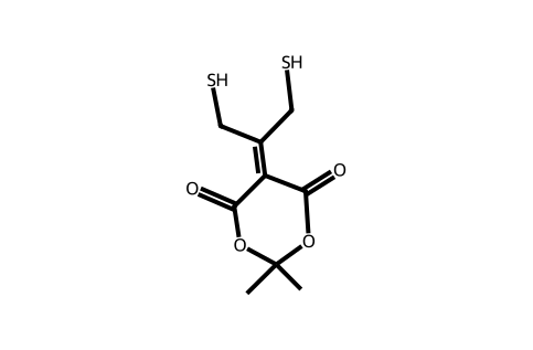 CC1(C)OC(=O)C(=C(CS)CS)C(=O)O1